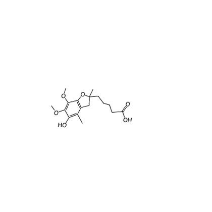 COc1c(O)c(C)c2c(c1OC)OC(C)(CCCCC(=O)O)C2